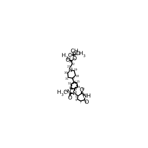 Cn1c(=O)n(C2CCC(=O)NC2=O)c2ccc(C3CCN(CCC(=O)OC(C)(C)C)CC3)cc21